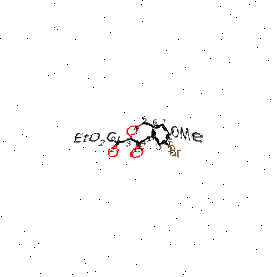 CCOC(=O)C(=O)C1OCc2cc(OC)c(Br)cc2C1=O